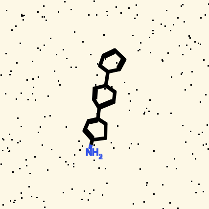 NC1=CC=C(C2=CCC(C3C=CC=CC3)C=C2)CC1